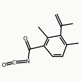 C=C(C)c1c(C)ccc(C(=O)N=C=O)c1C